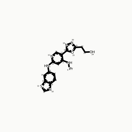 CC(C)Nc1cc(Nc2ccc3ncsc3c2)ncc1-c1nnc(CCO)o1